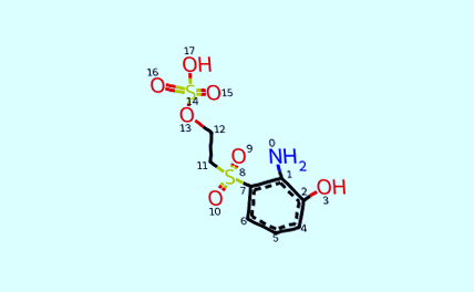 Nc1c(O)cccc1S(=O)(=O)CCOS(=O)(=O)O